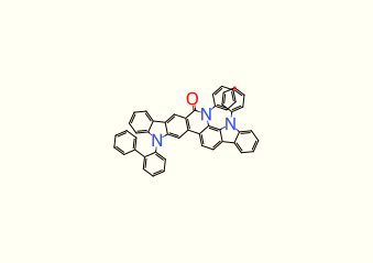 O=c1c2cc3c4ccccc4n(-c4ccccc4-c4ccccc4)c3cc2c2ccc3c4ccccc4n(-c4ccccc4)c3c2n1-c1ccccc1